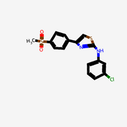 CS(=O)(=O)c1ccc(-c2csc(Nc3cccc(Cl)c3)n2)cc1